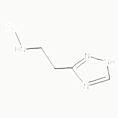 CCCNCCc1nc[nH]n1